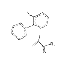 CC=C(C)C(=O)O.Cc1ccccc1-c1ccccc1